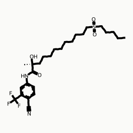 CCCCCS(=O)(=O)CCCCCCCCCC[C@](C)(O)C(=O)Nc1ccc(C#N)c(C(F)(F)F)c1